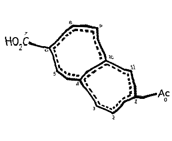 CC(=O)c1ccc2cc(C(=O)O)ccc2c1